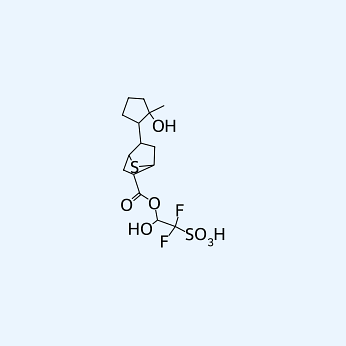 CC1(O)CCCC1C1CC2SC1CC2C(=O)OC(O)C(F)(F)S(=O)(=O)O